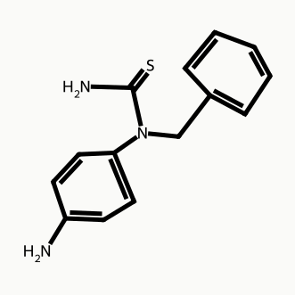 NC(=S)N(Cc1ccccc1)c1ccc(N)cc1